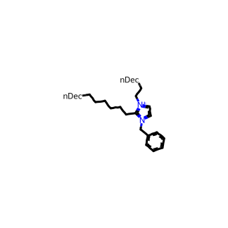 CCCCCCCCCCCCCCCCc1n(Cc2ccccc2)cc[n+]1CCCCCCCCCCCC